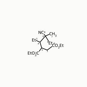 CCOC(=O)CC(C(=O)OCC)C(CC)C(C)(C#N)CC